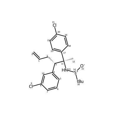 C=CC[C@@H](c1cccc(Cl)c1)[C@](C)(N[S+]([O-])C(C)(C)C)c1ccc(Cl)cc1